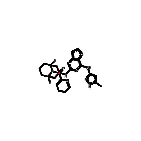 Cc1cc(Nc2nc(N[C@@H]3C[C@H]4CCC[C@@H](C3)N4C(=O)C3=CCCC=N3)nc3ccsc23)n[nH]1